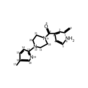 C=C/C=C(\C=C/N)C(=O)N1CCN(c2ccc(C)cn2)CC1